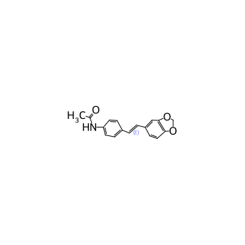 CC(=O)Nc1ccc(/C=C/c2ccc3c(c2)OCO3)cc1